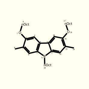 CCCCCCCCOc1cc2c(cc1C)B(CCCCCCCC)c1cc(C)c(OCCCCCCCC)cc1-2